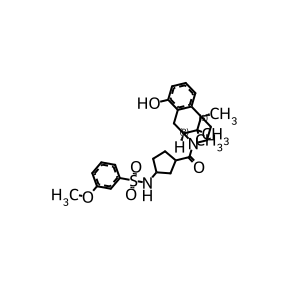 COc1cccc(S(=O)(=O)NC2CCC(C(=O)N3CC[C@@]4(C)c5cccc(O)c5C[C@@H]3C4(C)C)C2)c1